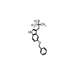 CC(C)(N)Cc1c[nH]c2ccc(OCc3ccccc3)cc12